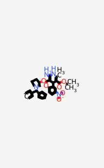 CC1=C(C(=O)OC(C)C)C(c2cccc([N+](=O)[O-])c2)C(C(=O)OC2CCCN(C(c3ccccc3)c3ccccc3)C2)=C(N)N1